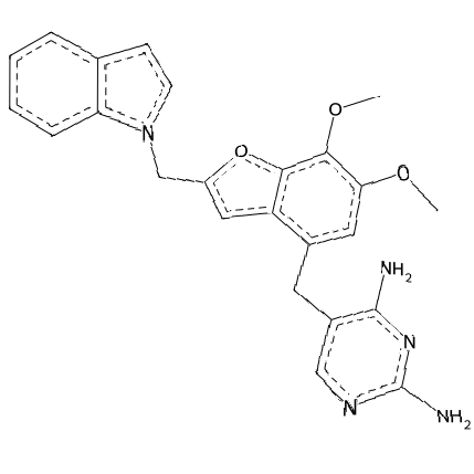 COc1cc(Cc2cnc(N)nc2N)c2cc(Cn3ccc4ccccc43)oc2c1OC